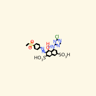 C=CS(=O)(=O)c1ccc(N=Nc2c(S(=O)(=O)O)cc3cc(S(=O)(=O)O)cc(Nc4ncnc(Cl)n4)c3c2O)cc1